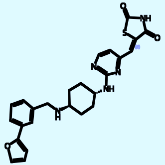 O=C1NC(=O)/C(=C/c2ccnc(N[C@H]3CC[C@H](NCc4cccc(-c5ccco5)c4)CC3)n2)S1